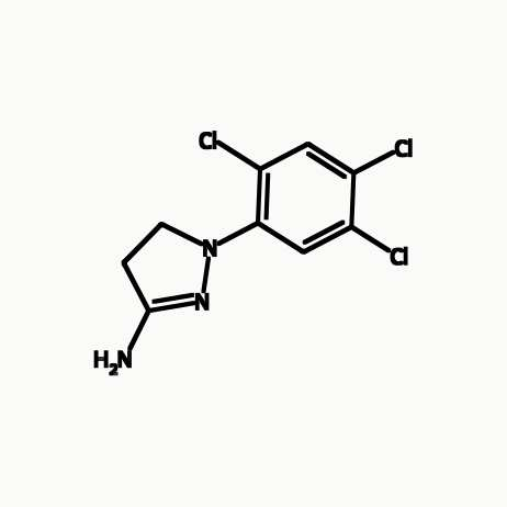 NC1=NN(c2cc(Cl)c(Cl)cc2Cl)CC1